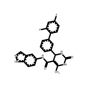 CC1=C(C(=O)Nc2ccc3[nH]ncc3c2)C(c2cccc(-c3ccc(F)cc3F)c2)NC(=O)N1